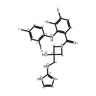 O=C(c1ccc(F)c(F)c1Nc1ccc(I)cc1F)N1CC(O)(CNc2ncc[nH]2)C1